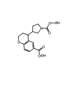 COC(=O)c1ccc2c(c1)N(C1CCN(C(=O)OC(C)(C)C)C1)CCO2